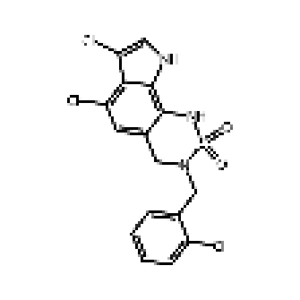 O=S1(=O)Nc2c(cc(Cl)c3c(Cl)c[nH]c23)CN1Cc1ccccc1Cl